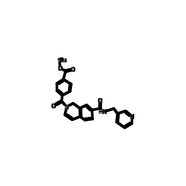 CC(C)(C)OC(=O)c1ccc(C(=O)N2C=Cc3ccc(C(=O)NCc4cccnc4)cc3C2)cc1